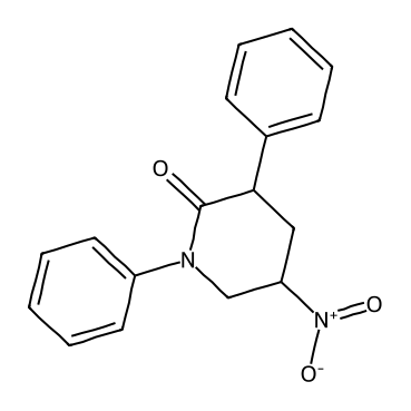 O=C1C(c2ccccc2)CC([N+](=O)[O-])CN1c1ccccc1